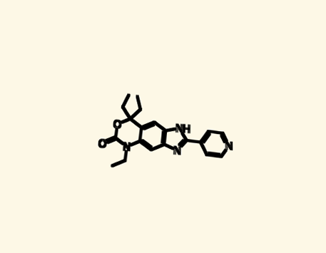 CCN1C(=O)OC(CC)(CC)c2cc3[nH]c(-c4ccncc4)nc3cc21